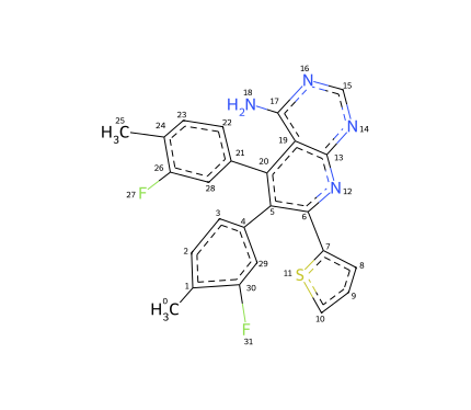 Cc1ccc(-c2c(-c3cccs3)nc3ncnc(N)c3c2-c2ccc(C)c(F)c2)cc1F